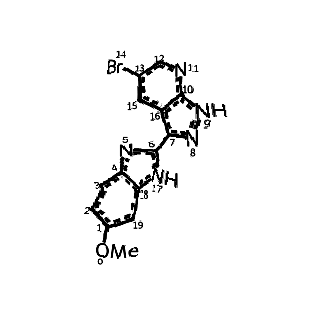 COc1ccc2nc(-c3n[nH]c4ncc(Br)cc34)[nH]c2c1